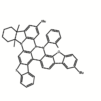 Cc1ccccc1N1B2c3cc(C(C)(C)C)cc4c3N(c3cc5sc6ccccc6c5c(c32)-c2ccc3c(oc5ccc(C(C)(C)C)cc53)c21)C1(C)CCCCC41C